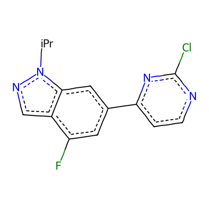 CC(C)n1ncc2c(F)cc(-c3ccnc(Cl)n3)cc21